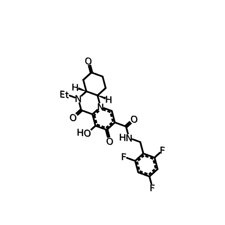 CCN1C(=O)c2c(O)c(=O)c(C(=O)NCc3c(F)cc(F)cc3F)cn2[C@H]2CCC(=O)C[C@H]21